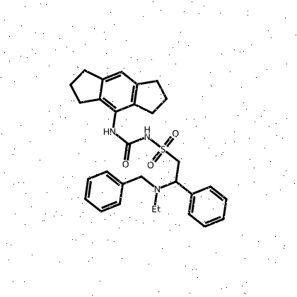 CCN(Cc1ccccc1)C(CS(=O)(=O)NC(=O)Nc1c2c(cc3c1CCC3)CCC2)c1ccccc1